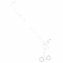 COCCOCCOCCOCCOCCOCCOCCOCCNC(=O)[C@H](CCC(=O)OC(C)(C)C)NC(=O)OCC1c2ccccc2-c2ccccc21